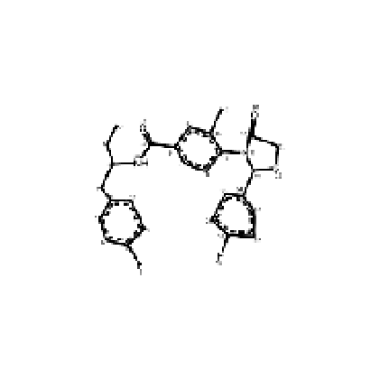 CCC(Cc1ccc(F)cc1)NC(=O)c1ccc(N2C(=O)CSC2c2ccc(F)cc2)c(C)c1